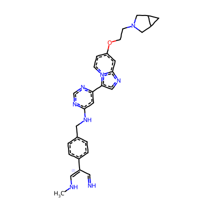 CN/C=C(\C=N)c1ccc(CNc2cc(-c3cnc4cc(OCCN5CC6CC6C5)ccn34)ncn2)cc1